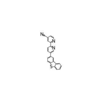 N#Cc1ccnc(-c2ccc(-c3ccc4sc5ccccc5c4c3)cn2)c1